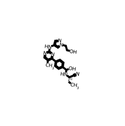 CC[C@@H](C#N)NC(O)c1ccc(-c2nc(Nc3cnn(CCO)c3)ncc2C)cc1